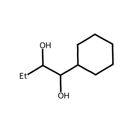 CCC(O)C(O)C1CCCCC1